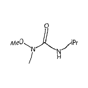 CON(C)C(=O)NC(C)C